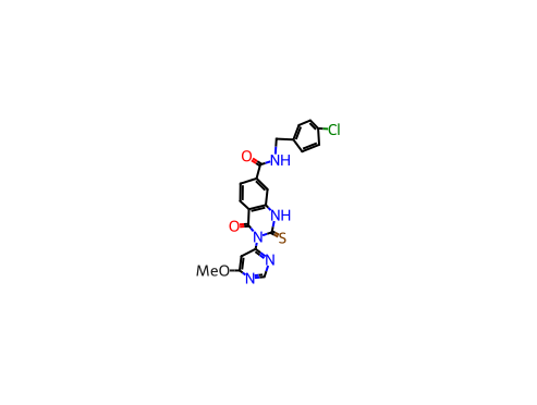 COc1cc(-n2c(=S)[nH]c3cc(C(=O)NCc4ccc(Cl)cc4)ccc3c2=O)ncn1